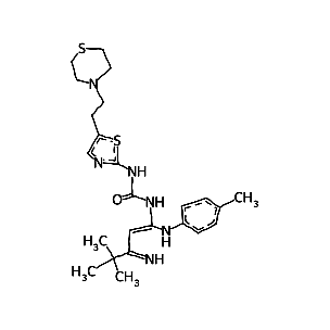 Cc1ccc(N/C(=C\C(=N)C(C)(C)C)NC(=O)Nc2ncc(CCN3CCSCC3)s2)cc1